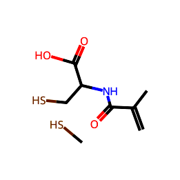 C=C(C)C(=O)NC(CS)C(=O)O.CS